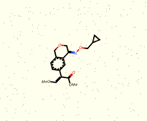 CO/C=C(/C(=O)OC)c1ccc2c(c1)/C(=N/OCC1CC1)COC2